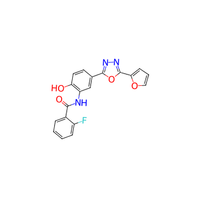 O=C(Nc1cc(-c2nnc(-c3ccco3)o2)ccc1O)c1ccccc1F